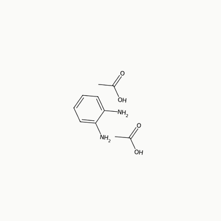 CC(=O)O.CC(=O)O.Nc1ccccc1N